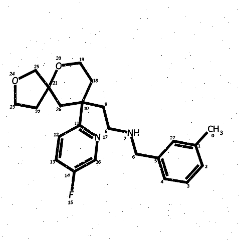 Cc1cccc(CNCCC2(c3ccc(F)cn3)CCOC3(CCOC3)C2)c1